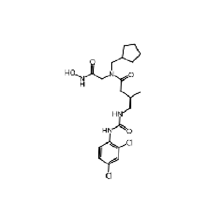 CC(CNC(=O)Nc1ccc(Cl)cc1Cl)CC(=O)N(CC(=O)NO)CC1CCCC1